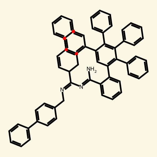 N/C(=N\C(=N/Cc1ccc(-c2ccccc2)cc1)C1C=CC(c2ccccc2)=CC1)c1ccccc1-c1cc(-c2ccccc2)c(-c2ccccc2)c(-c2ccccc2)c1-c1ccccc1